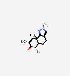 CC[C@@H]1C(=O)C(C#N)=CC2(C)c3nn(C)cc3CCC12